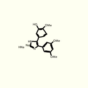 COc1cc(OC)cc(-c2nc[nH]c2-c2ccc(OC)c(O)c2)c1.[NaH].[NaH]